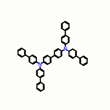 C1=C[C@@H](N(c2ccc(-c3ccccc3)cc2)c2ccc(-c3ccc(N(c4ccc(-c5ccccc5)cc4)c4ccc(-c5ccccc5)cc4)cc3)cc2)CC=C1c1ccccc1